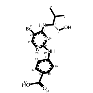 CC(C)[C@H](CO)Nc1nc(Nc2ccc(C(=O)O)cc2)ncc1Br